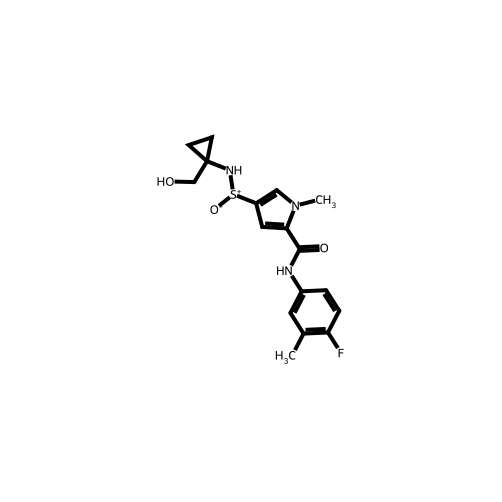 Cc1cc(NC(=O)c2cc([S+]([O-])NC3(CO)CC3)cn2C)ccc1F